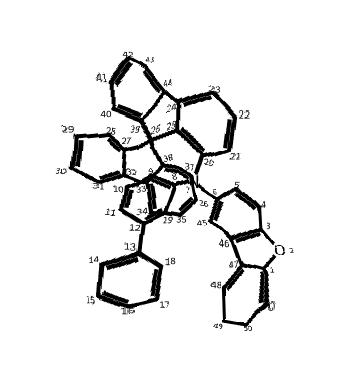 C1=c2oc3ccc(N(c4cccc(-c5ccccc5)c4)c4cccc5c4C4(c6ccccc6-c6ccccc64)c4ccccc4-5)cc3c2=CCC1